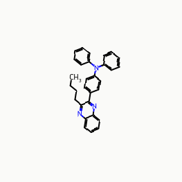 CCCCc1nc2ccccc2nc1-c1ccc(N(c2ccccc2)c2ccccc2)cc1